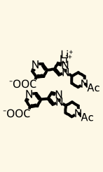 CC(=O)N1CCC(n2cc(-c3cncc(C(=O)[O-])c3)cn2)CC1.CC(=O)N1CCC(n2cc(-c3cncc(C(=O)[O-])c3)cn2)CC1.[Li+].[Li+]